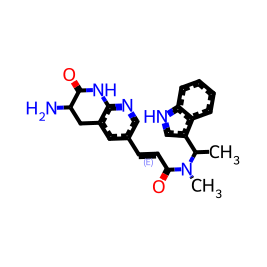 CC(c1c[nH]c2ccccc12)N(C)C(=O)/C=C/c1cnc2c(c1)CC(N)C(=O)N2